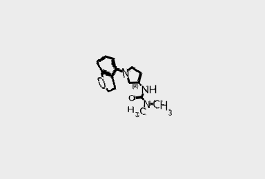 CN(C)C(=O)N[C@@H]1CCN(c2cccc3c2CCO3)C1